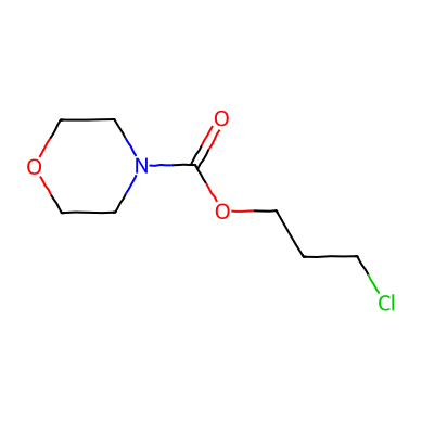 O=C(OCCCCl)N1CCOCC1